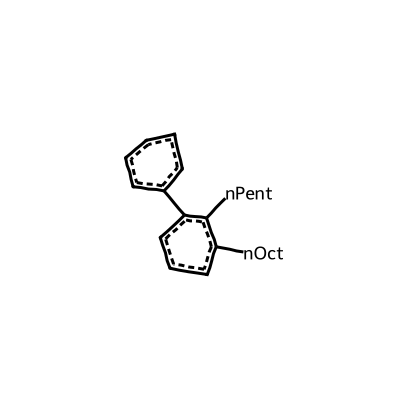 CCCCCCCCc1cccc(-c2ccccc2)c1CCCCC